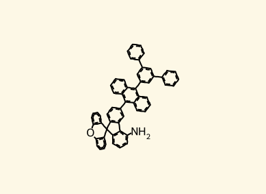 Nc1cccc2c1-c1cc(-c3c4ccccc4c(-c4cc(-c5ccccc5)cc(-c5ccccc5)c4)c4ccccc34)ccc1C21c2ccccc2Oc2ccccc21